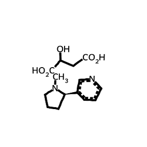 CN1CCC[C@@H]1c1cccnc1.O=C(O)CC(O)C(=O)O